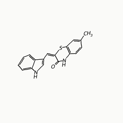 Cc1ccc2c(c1)S/C(=C/c1c[nH]c3ccccc13)C(=O)N2